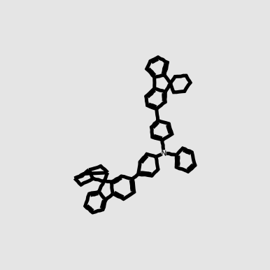 C1=CC(N(c2ccccc2)c2ccc(-c3ccc4c(c3)C3(CCCCC3)c3ccccc3-4)cc2)CC=C1c1ccc2c(c1)C1(c3ccccc3-2)C2CC3CC(C2)C1C3